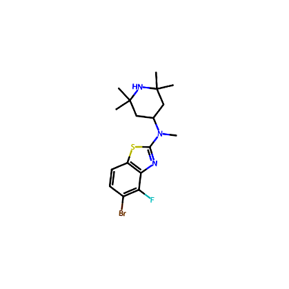 CN(c1nc2c(F)c(Br)ccc2s1)C1CC(C)(C)NC(C)(C)C1